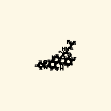 C[C@@H](Oc1cc(F)ccc1Nc1ncnc2cc(N=S3(=O)CCC3)cc(F)c12)C(=O)NCC(F)F